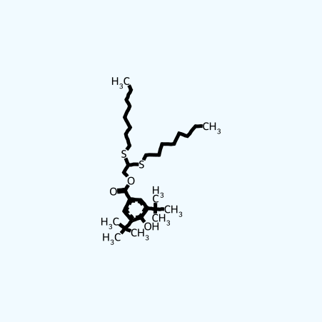 CCCCCCCCSC(COC(=O)c1cc(C(C)(C)C)c(O)c(C(C)(C)C)c1)SCCCCCCCC